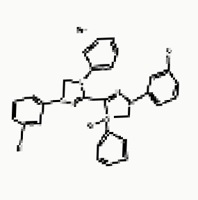 Brc1cccc(N2CN(c3ccccc3)C(C3=NN(c4cccc(Br)c4)C[N+]3(Br)c3ccccc3)=N2)c1.[Br-]